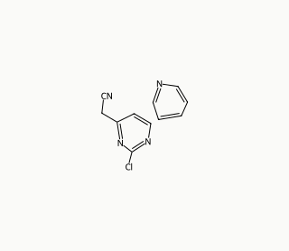 N#CCc1ccnc(Cl)n1.c1ccncc1